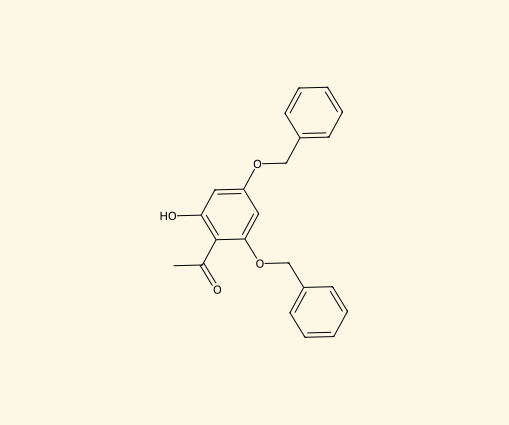 CC(=O)c1c(O)cc(OCc2ccccc2)cc1OCc1ccccc1